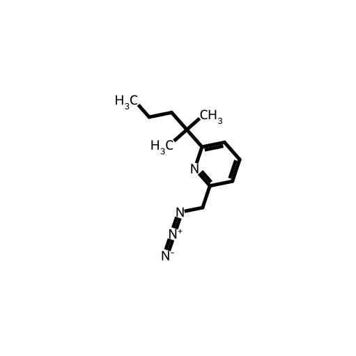 CCCC(C)(C)c1cccc(CN=[N+]=[N-])n1